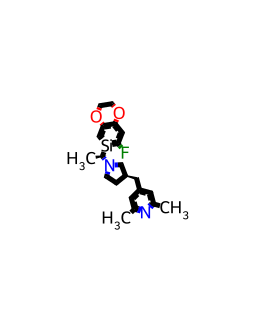 Cc1cc(C[C@H]2CCN([C@@H](C)[si]3cc4c(cc3F)OCCO4)C2)cc(C)n1